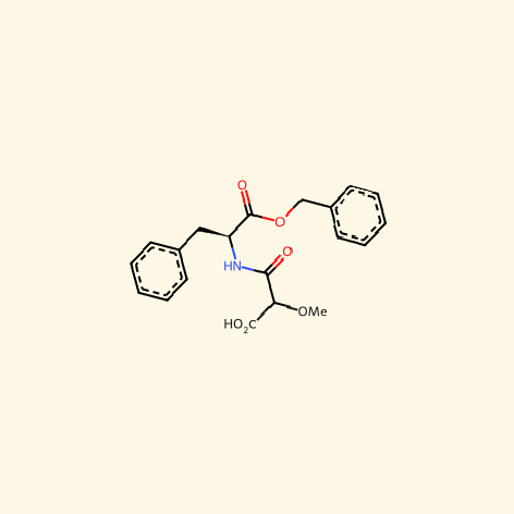 COC(C(=O)O)C(=O)N[C@@H](Cc1ccccc1)C(=O)OCc1ccccc1